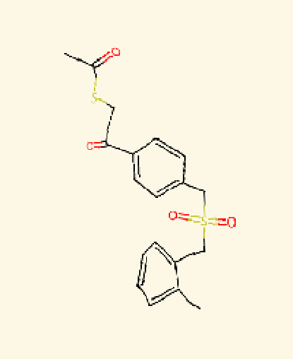 CC(=O)SCC(=O)c1ccc(CS(=O)(=O)Cc2ccccc2C)cc1